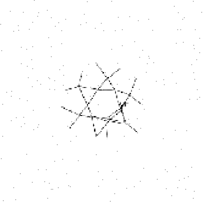 CC1C(O)C12CC21C(C)(C)C12C(C)(C)C21C(C)(C)C12C(C)(C)C21CC1(C)C